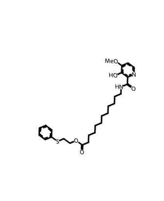 COc1ccnc(C(=O)NCCCCCCCCCCCC(=O)OCCSc2ccccc2)c1O